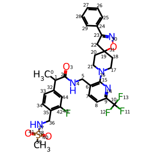 CC(C(=O)NCc1ccc(C(F)(F)F)nc1N1CCC2(CC1)CC(c1ccccc1)=NO2)c1ccc(CNS(C)(=O)=O)c(F)c1